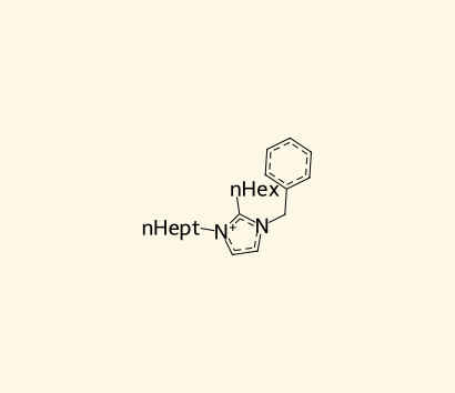 CCCCCCC[n+]1ccn(Cc2ccccc2)c1CCCCCC